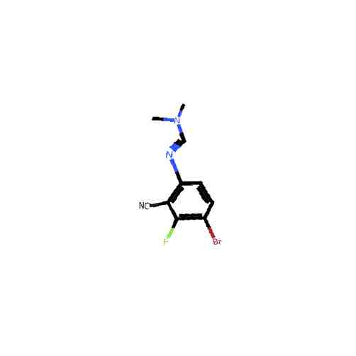 CN(C)C=Nc1ccc(Br)c(F)c1C#N